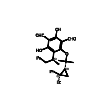 CC[C@@]1(C(C)C)C[C@H]1C(C)(C)Oc1c(C=O)c(O)c(C=O)c(O)c1[C@@H](C)CC(C)C